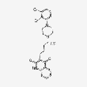 Cl.O=c1[nH]c2ccccc2c(=O)n1CCCCN1CCN(c2cccc(Cl)c2Cl)CC1